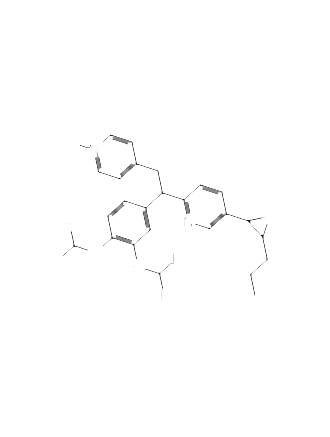 CCCC1OC1c1ccc(C(Cc2cc[n+]([O-])cc2)c2ccc(OC(F)F)c(OC(F)F)c2)nc1